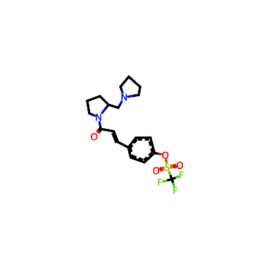 O=C(C=Cc1ccc(OS(=O)(=O)C(F)(F)F)cc1)N1CCCC1CN1CCCC1